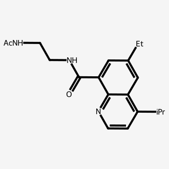 CCc1cc(C(=O)NCCNC(C)=O)c2nccc(C(C)C)c2c1